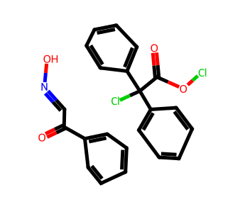 O=C(C=NO)c1ccccc1.O=C(OCl)C(Cl)(c1ccccc1)c1ccccc1